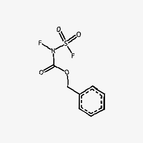 O=C(OCc1ccccc1)N(F)S(=O)(=O)F